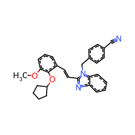 COc1cccc(/C=C/c2nc3ccccc3n2Cc2ccc(C#N)cc2)c1OC1CCCC1